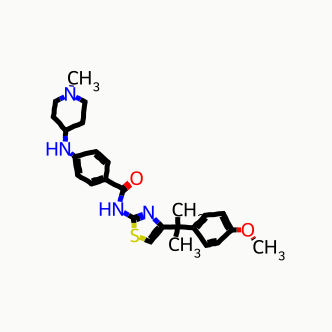 COc1ccc(C(C)(C)c2csc(NC(=O)c3ccc(NC4CCN(C)CC4)cc3)n2)cc1